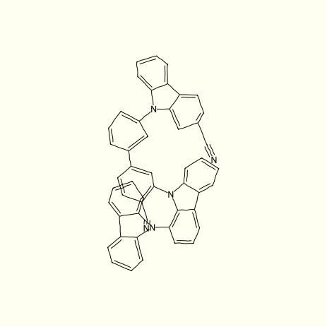 N#Cc1ccc2c3ccccc3n(-c3cccc(-c4ccc(C#N)c(-n5c6ccccc6c6cccc(-n7c8ccccc8c8ccccc87)c65)c4)c3)c2c1